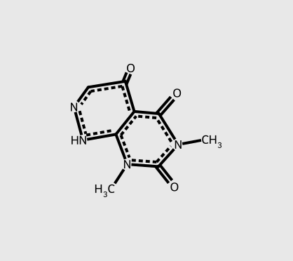 Cn1c(=O)c2c(=O)cn[nH]c2n(C)c1=O